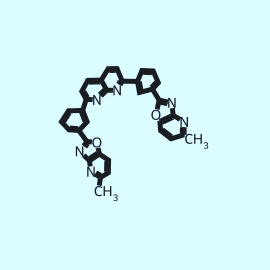 Cc1ccc2oc(-c3cccc(-c4ccc5ccc(-c6cccc(-c7nc8nc(C)ccc8o7)c6)nc5n4)c3)nc2n1